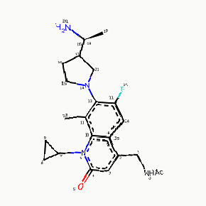 CC(=O)NCc1cc(=O)n(C2CC2)c2c(C)c(N3CCC([C@H](C)N)C3)c(F)cc12